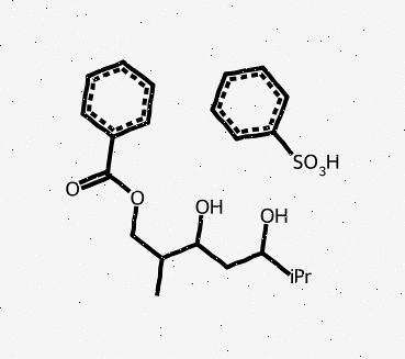 CC(C)C(O)CC(O)C(C)COC(=O)c1ccccc1.O=S(=O)(O)c1ccccc1